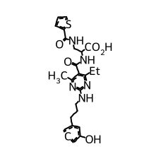 CCc1nc(NCCCc2cccc(O)c2)nc(C)c1C(=O)NC(CNC(=O)c1cccs1)C(=O)O